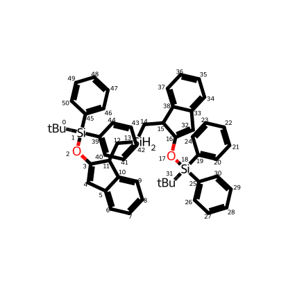 CC(C)(C)[Si](OC1=Cc2ccccc2C1C[SiH2]CC1C(O[Si](c2ccccc2)(c2ccccc2)C(C)(C)C)=Cc2ccccc21)(c1ccccc1)c1ccccc1